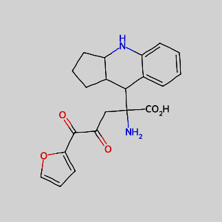 NC(CC(=O)C(=O)c1ccco1)(C(=O)O)C1c2ccccc2NC2CCCC21